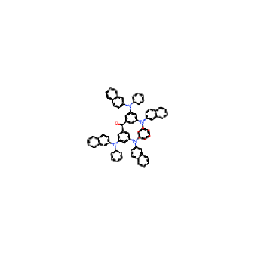 O=C(c1cc(N(c2ccccc2)c2ccc3ccccc3c2)cc(N(c2ccccc2)c2ccc3ccccc3c2)c1)c1cc(N(c2ccccc2)c2ccc3ccccc3c2)cc(N(c2ccccc2)c2ccc3ccccc3c2)c1